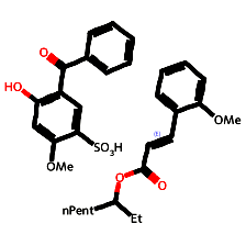 CCCCCC(CC)OC(=O)/C=C/c1ccccc1OC.COc1cc(O)c(C(=O)c2ccccc2)cc1S(=O)(=O)O